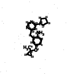 CC1(Oc2ccc(N)c(Cc3cc(N4CCCC4)ncn3)c2)CC1